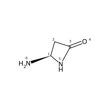 N[C@H]1CC(=O)N1